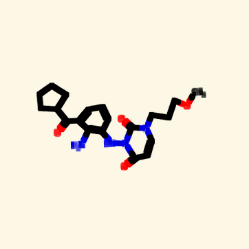 COCCCn1ccc(=O)n(Nc2cccc(C(=O)C3CCCC3)c2N)c1=O